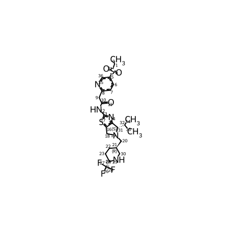 CCS(=O)(=O)c1ccc(CC(=O)Nc2nc3c(s2)CN(C[C@@H]2CC[C@@H](C(F)(F)F)NC2)[C@H]3C(C)C)nc1